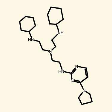 c1cc(N2CCCC2)nc(NCCN(CCNC2CCCCC2)CCNC2CCCCC2)n1